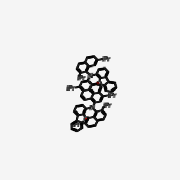 CC(C)c1ccc2ccc(C(C)C)c(N(c3cc(C(C)C)c4ccc5c(N(c6c(C(C)C)ccc7ccc(C(C)C)cc67)c6cccc7c6oc6ccccc67)cc(C(C)C)c6ccc3c4c65)c3cccc4c3oc3ccccc34)c2c1